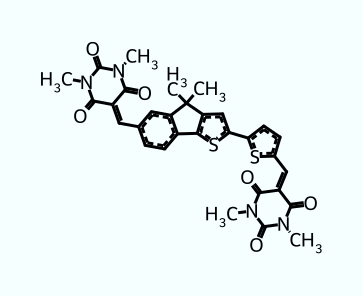 CN1C(=O)C(=Cc2ccc3c(c2)C(C)(C)c2cc(-c4ccc(C=C5C(=O)N(C)C(=O)N(C)C5=O)s4)sc2-3)C(=O)N(C)C1=O